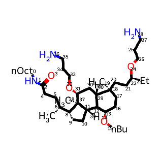 CCCCCCCCNC(=O)CC[C@@H](C)[C@H]1CC[C@H]2C3[C@H](OCCCC)CC[C@](C)(CC[C@H](CC)OCCCN)[C@H]3C[C@H](OCCCN)[C@]12C